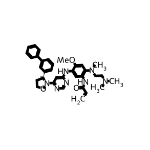 C=CC(=O)Nc1cc(Nc2cc(N3OCC[C@@H]3c3cccc(-c4ccccc4)c3)ncn2)c(OC)cc1N(C)CCN(C)C